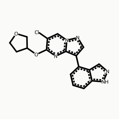 Clc1cn2ncc(-c3cccc4[nH]ncc34)c2nc1OC1CCOC1